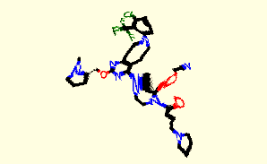 CN1CCC[C@H]1COc1nc2c(c(N3CCN(C(=O)/C=C/CN4CCCC4)C(OCC#N)C3)n1)CCN(c1cccc(Cl)c1C(F)(F)F)C2